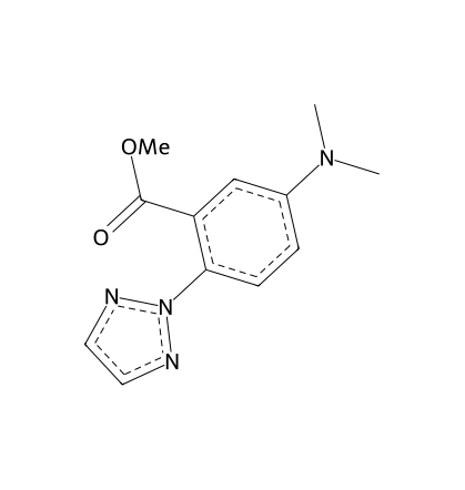 COC(=O)c1cc(N(C)C)ccc1-n1nccn1